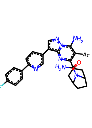 CC(=O)c1c(C2CC3CCC(C2)N3C(N)=O)nc2c(-c3ccc(-c4ccc(F)cc4)nc3)cnn2c1N